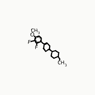 CCC1CCC(C2CC=C(c3ccc(OC)c(F)c3F)CC2)CC1